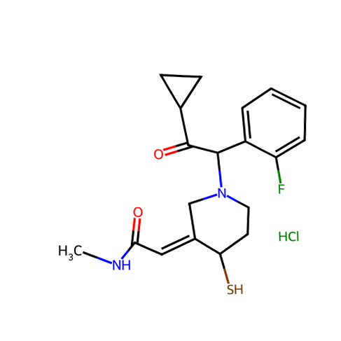 CNC(=O)/C=C1\CN(C(C(=O)C2CC2)c2ccccc2F)CCC1S.Cl